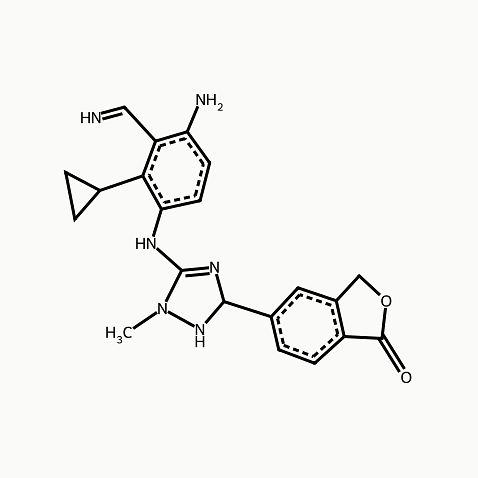 CN1NC(c2ccc3c(c2)COC3=O)N=C1Nc1ccc(N)c(C=N)c1C1CC1